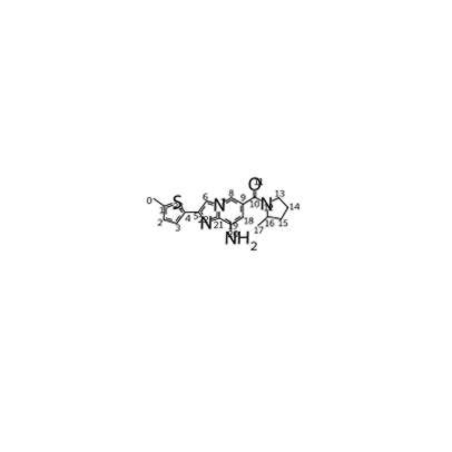 Cc1ccc(-c2cn3cc(C(=O)N4CCCC4C)cc(N)c3n2)s1